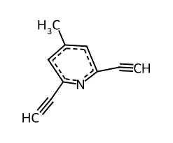 C#Cc1cc(C)cc(C#C)n1